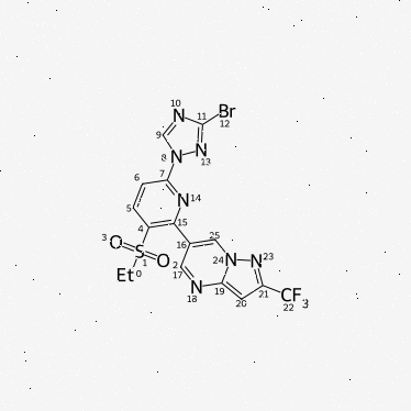 CCS(=O)(=O)c1ccc(-n2cnc(Br)n2)nc1-c1cnc2cc(C(F)(F)F)nn2c1